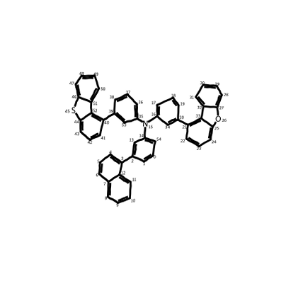 c1cc(-c2cccc3ccccc23)cc(N(c2cccc(-c3cccc4oc5ccccc5c34)c2)c2cccc(-c3cccc4sc5ccccc5c34)c2)c1